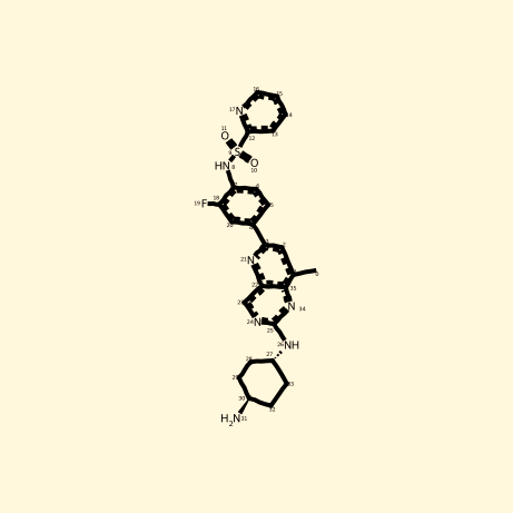 Cc1cc(-c2ccc(NS(=O)(=O)c3ccccn3)c(F)c2)nc2cnc(N[C@H]3CC[C@H](N)CC3)nc12